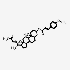 COc1ccc(/C=C/C(=O)OC2CCC3(C)C(CCC4C3CCC3(C)C(C(C)CCC(C)=O)CCC43)C2)cc1